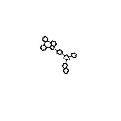 c1ccc(-c2nc(-c3ccc(-n4cc5c6c(cccc64)-c4ccccc4-c4ccccc4-5)cc3)nc(-c3ccc4ccccc4c3)n2)cc1